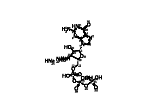 Nc1nc2c(ncn2[C@@H]2O[C@H](COP(=O)(O)OP(=O)(O)OP(=O)(O)O)[C@@H](O)[C@H]2O)c(=O)[nH]1.[NaH].[NaH].[NaH]